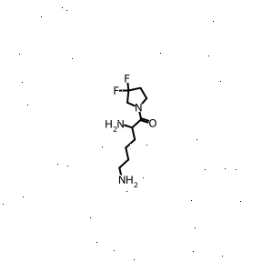 NCCCCC(N)C(=O)N1CCC(F)(F)C1